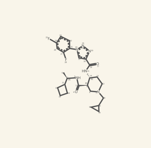 C[C@@H](NC(=O)[C@@H]1CN(CC2CC2)CC[C@H]1NC(=O)c1cn(-c2ccc(F)cc2F)nn1)C1CCC1